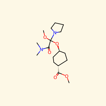 COC(=O)[C@H]1CC[C@H](OC(OC)(C(=O)N(C)C)N2CCCC2)CC1